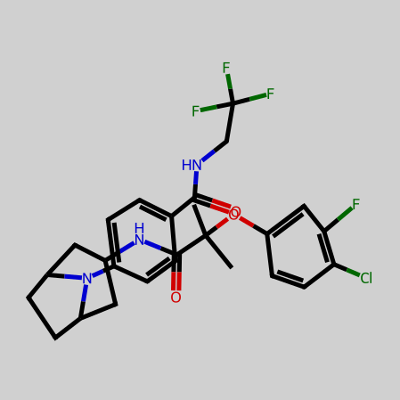 CC(C)(Oc1ccc(Cl)c(F)c1)C(=O)NC1CC2CCC(C1)N2c1ccc(C(=O)NCC(F)(F)F)cc1